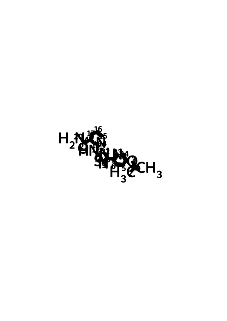 CC(C)Oc1ccc(-c2nsc(Nc3ncccc3C(N)=O)n2)nc1